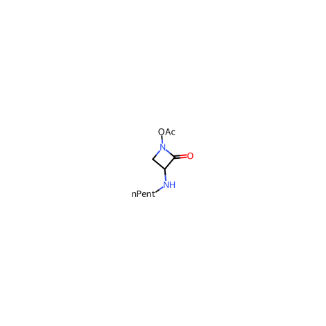 CCCCCNC1CN(OC(C)=O)C1=O